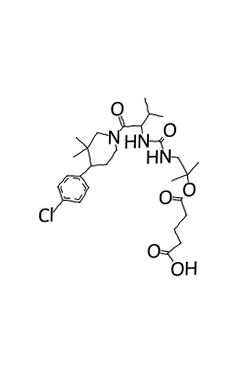 CC(C)C(NC(=O)NCC(C)(C)OC(=O)CCCC(=O)O)C(=O)N1CCC(c2ccc(Cl)cc2)C(C)(C)C1